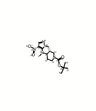 CN(c1c([N+](=O)[O-])cnn1C)C1CCN(C(=O)OC(C)(C)C)CC1